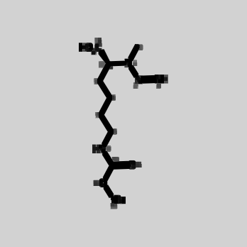 CN(N=N)[C@@H](CCCCNC(=O)OC(C)(C)C)C(=O)O